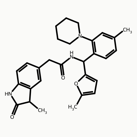 Cc1ccc(C(NC(=O)Cc2ccc3c(c2)C(C)C(=O)N3)c2ccc(C)o2)c(N2CCCCC2)c1